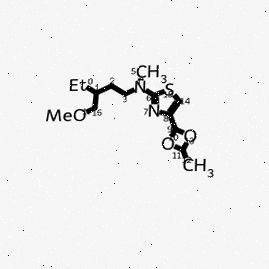 CCC(CCN(C)c1nc(C2OC(C)O2)cs1)COC